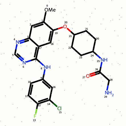 COc1cc2ncnc(Nc3ccc(F)c(Cl)c3)c2cc1OC1CCC(NC(=O)CN)CC1